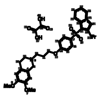 COc1cc2c(cc1OC)CN(CCCOc1ccc(S(=O)(=O)c3c(C(C)C)cn4ccccc34)cc1)CC2.O=C(O)C(=O)O